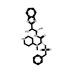 CCC[C@H](NC(=O)[C@H](CS(=O)(=O)Cc1ccccc1)N(C)C1CCNCC1)C(O)c1nc2ccccc2o1